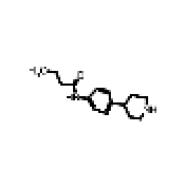 CCCC(=O)Nc1ccc(C2CCNCC2)cc1